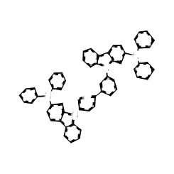 c1ccc(N(c2ccccc2)c2ccc3c4ccccc4n(-c4ccc(-c5cccc(-n6c7ccccc7c7ccc(N(c8ccccc8)c8ccccc8)cc76)c5)cc4)c3c2)cc1